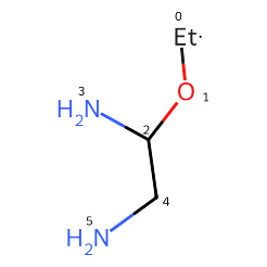 C[CH]OC(N)CN